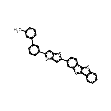 Cc1cccc(-c2cccc(-c3cc4sc(-c5ccc6c(c5)sc5c7ccccc7sc65)cc4s3)c2)c1